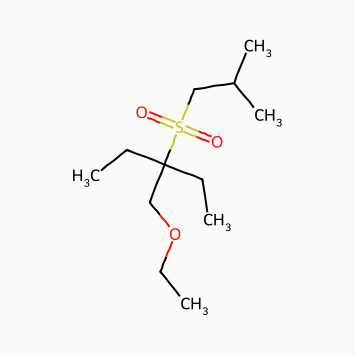 CCOCC(CC)(CC)S(=O)(=O)CC(C)C